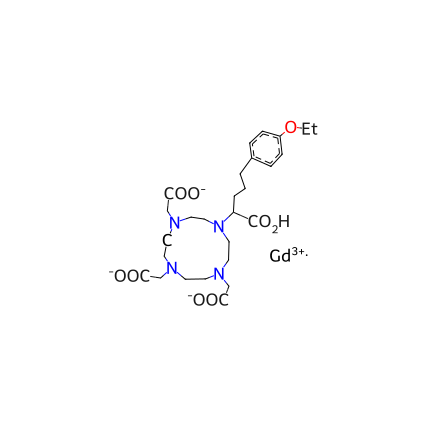 CCOc1ccc(CCCC(C(=O)O)N2CCN(CC(=O)[O-])CCN(CC(=O)[O-])CCN(CC(=O)[O-])CC2)cc1.[Gd+3]